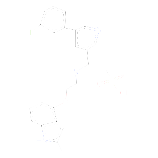 CS(=O)(=O)O.Cc1cc2c(OCCNCc3cncc(-c4cccc(F)c4)c3)cccc2[nH]1